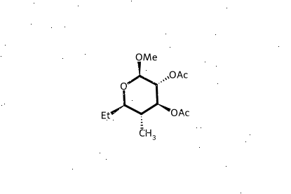 CC[C@H]1O[C@@H](OC)[C@H](OC(C)=O)[C@@H](OC(C)=O)[C@@H]1C